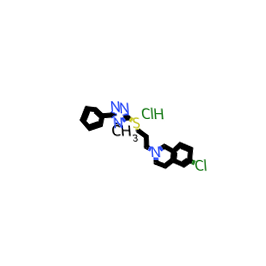 Cl.Cn1c(SCCCN2CCc3cc(Cl)ccc3C2)nnc1-c1ccccc1